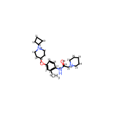 Cc1cc(OC2CCN(C3CCC3)CC2)ccc1NC(=O)CN1CCCCC1